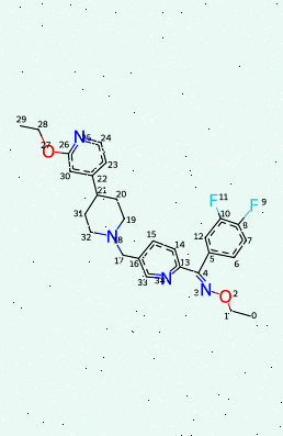 CCO/N=C(\c1ccc(F)c(F)c1)c1ccc(CN2CCC(c3ccnc(OCC)c3)CC2)cn1